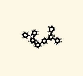 c1ccc(-c2cc(-c3ccc(-c4cccc5c4sc4c5ccc5c4c4ccccc4n5-c4ccccc4)cc3)cc(-c3ccccc3)n2)cc1